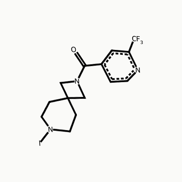 O=C(c1ccnc(C(F)(F)F)c1)N1CC2(CCN(I)CC2)C1